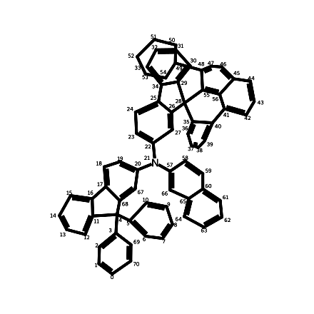 c1ccc(C2(c3ccccc3)c3ccccc3-c3ccc(N(c4ccc5c(c4)C4(c6ccccc6-5)c5ccccc5-c5cccc6ccc(C7CCCCC7)c4c56)c4ccc5ccccc5c4)cc32)cc1